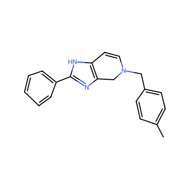 Cc1ccc(CN2C=Cc3[nH]c(-c4ccccc4)nc3C2)cc1